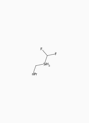 CCCC[SiH2]C(F)F